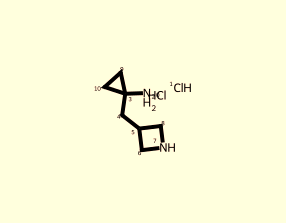 Cl.Cl.NC1(CC2CNC2)CC1